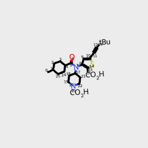 CC1CCC(C(=O)N(c2cc(C#CC(C)(C)C)sc2C(=O)O)C2CCN(C(=O)O)CC2)CC1